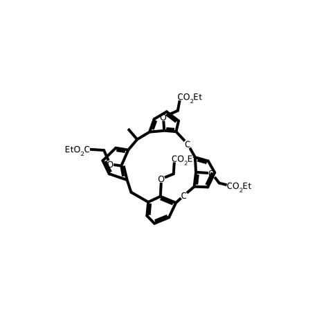 CCOC(=O)COc1c2cccc1Cc1cccc(c1OCC(=O)OCC)C(C)c1cccc(c1OCC(=O)OCC)Cc1cccc(c1OCC(=O)OCC)C2